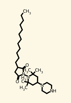 CCCCCCCCCCCCC1CC(=O)N(N2C(C)(C)CC(N3CCNCC3)CC2(C)C)C1=O